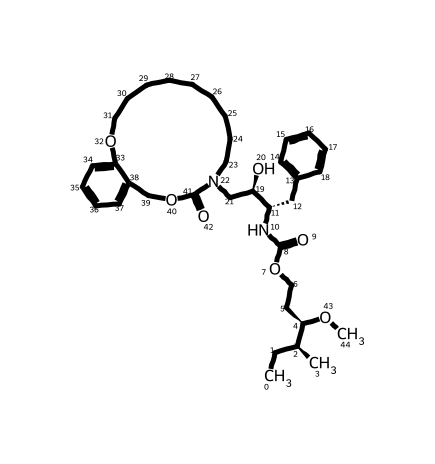 CC[C@H](C)[C@@H](CCOC(=O)N[C@@H](Cc1ccccc1)[C@H](O)CN1CCCCCCCCCOc2ccccc2COC1=O)OC